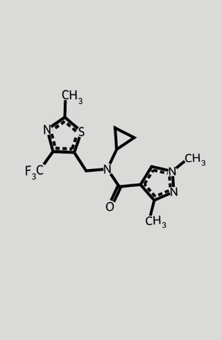 Cc1nc(C(F)(F)F)c(CN(C(=O)c2cn(C)nc2C)C2CC2)s1